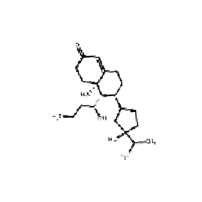 CCC[C@H](O)[C@H]1[C@H](C2CC[C@](O)(C(C)C)C2)CCC2=CC(=O)CC[C@@]21C